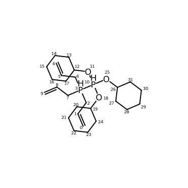 C=CC[PH](CC=C)(CC=C)[PH](OC1CCCCC1)(OC1CCCCC1)OC1CCCCC1